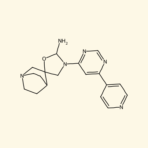 NC1OC2(CN3CCC2CC3)CN1c1cc(-c2ccncc2)ncn1